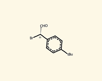 CC(C)(C)c1ccc([C@H](Br)C=O)cc1